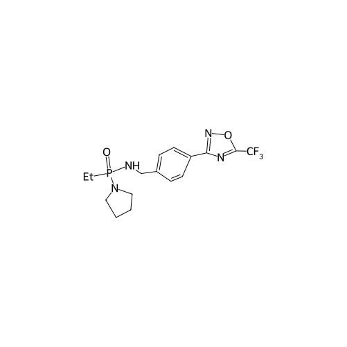 CCP(=O)(NCc1ccc(-c2noc(C(F)(F)F)n2)cc1)N1CCCC1